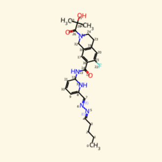 CCCC/C=N/N=C/C1=CC=CC(NC(=O)c2cc3c(cc2F)CCN(C(=O)C(C)(C)O)C3)N1